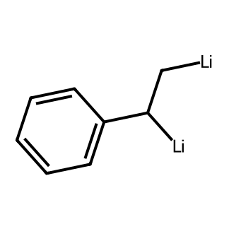 [Li][CH2][CH]([Li])c1ccccc1